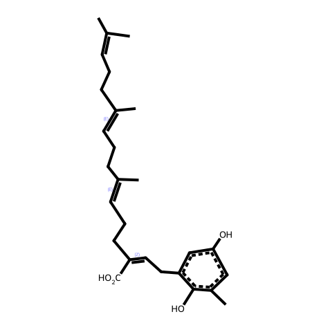 CC(C)=CCC/C(C)=C/CC/C(C)=C/CC/C(=C/Cc1cc(O)cc(C)c1O)C(=O)O